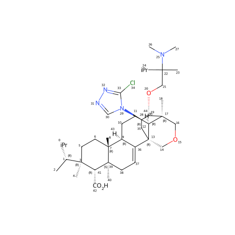 CC(C)[C@@H](C)[C@@]1(C)CC[C@]2(C)[C@H]3CC[C@@H]4[C@@]5(COC[C@]4(C)[C@@H](OCC(C)(C(C)C)N(C)C)[C@H](n4cnnc4Cl)C5)C3=CC[C@@]2(C)[C@@H]1C(=O)O